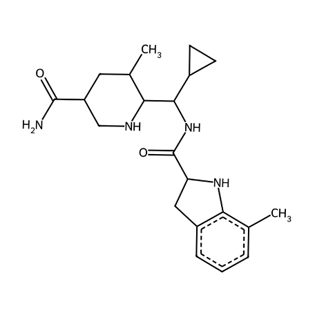 Cc1cccc2c1NC(C(=O)NC(C1CC1)C1NCC(C(N)=O)CC1C)C2